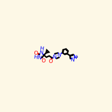 Cn1cc(-c2cccc(N3CCN(C(=O)CCC4(C5CC5)NC(=O)NC4=O)CC3)c2)cn1